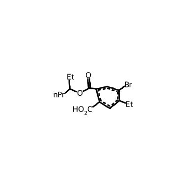 CCCC(CC)OC(=O)c1cc(Br)c(CC)cc1C(=O)O